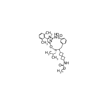 COC(=O)N[C@H]1CC2(C1)C[C@H](C1Cc3cccc(c3)S(=O)(=O)Nc3nc(cc(-c4c(C)cccc4C)n3)OC[C@H]1CC(C)C)C2